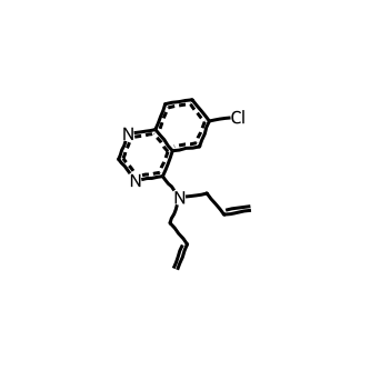 C=CCN(CC=C)c1ncnc2ccc(Cl)cc12